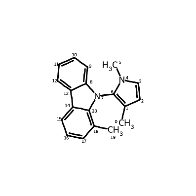 Cc1ccn(C)c1-n1c2ccccc2c2cccc(C)c21